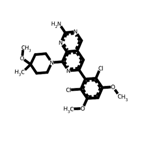 COc1cc(OC)c(Cl)c(-c2cc3cnc(N)nc3c(N3CCC(C)(OC)CC3)n2)c1Cl